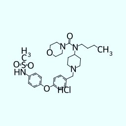 CCCCN(C(=O)N1CCOCC1)C1CCN(Cc2ccc(Oc3ccc(NS(C)(=O)=O)cc3)cc2)CC1.Cl